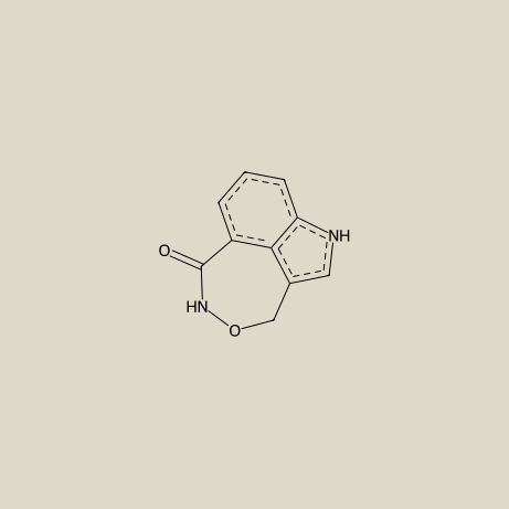 O=C1NOCc2c[nH]c3cccc1c23